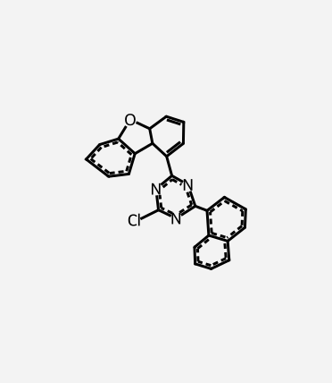 Clc1nc(C2=CC=CC3Oc4ccccc4C23)nc(-c2cccc3ccccc23)n1